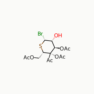 CC(=O)OC[C@@H]1S[C@H](Br)[C@H](O)[C@@H](OC(C)=O)[C@@]1(OC(C)=O)C(C)=O